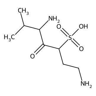 CC(C)C(N)C(=O)C(CCN)S(=O)(=O)O